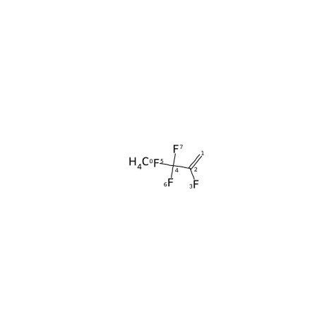 C.C=C(F)C(F)(F)F